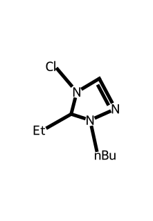 CCCCN1N=CN(Cl)C1CC